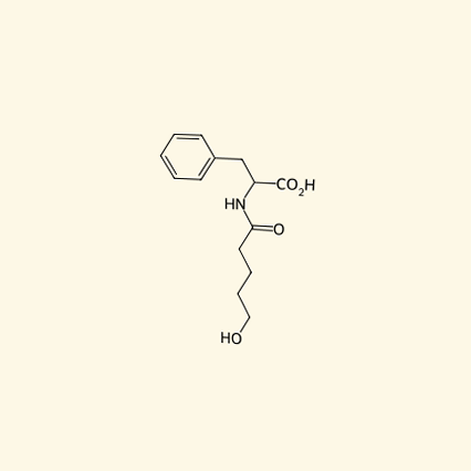 O=C(CCCCO)NC(Cc1ccccc1)C(=O)O